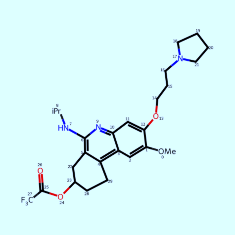 COc1cc2c3c(c(NC(C)C)nc2cc1OCCCN1CCCC1)CC(OC(=O)C(F)(F)F)CC3